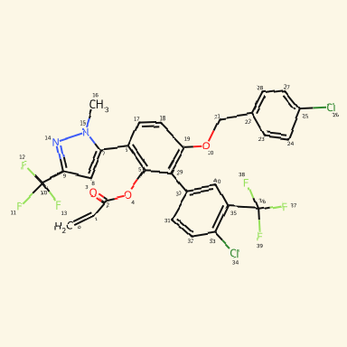 C=CC(=O)Oc1c(-c2cc(C(F)(F)F)nn2C)ccc(OCc2ccc(Cl)cc2)c1-c1ccc(Cl)c(C(F)(F)F)c1